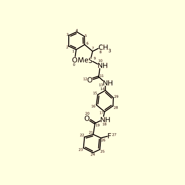 COc1ccccc1C(C)SNC(=O)Nc1ccc(NC(=O)c2ccccc2F)cc1